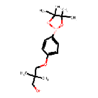 CC(C)(CO)COc1ccc(B2OC(C)(C)C(C)(C)O2)cc1